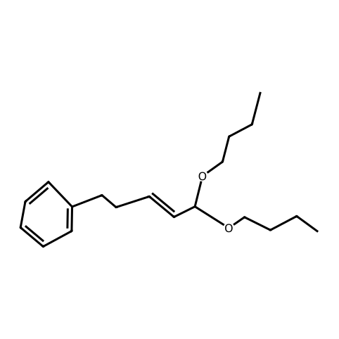 CCCCOC(C=CCCc1ccccc1)OCCCC